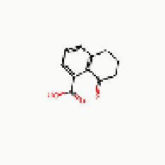 O=C(O)c1cccc2c1C(=O)CCC2